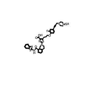 O=C(Nc1nc2ccccc2s1)c1cccc2c1CN(c1nc(C(=O)O)c(CCCOc3ccc(C#CCN4CCN(S)CC4)cc3F)s1)CC2